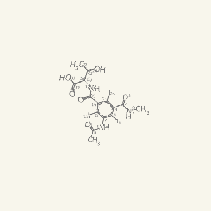 CNC(=O)c1c(I)c(NC(C)=O)c(I)c(C(=O)N[C@H](C(=O)O)C(C)O)c1I